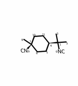 [C-]#[N+]C(C)(C)[C@H]1CC[C@@](C)([N+]#[C-])CC1